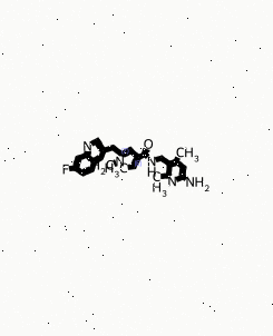 C=N/C(=C\C(=C/C)C(=O)NCc1c(C)cc(N)nc1C)Cc1cnc2cc(F)ccc2c1